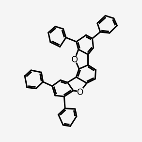 c1ccc(-c2cc(-c3ccccc3)c3oc4c(ccc5oc6c(-c7ccccc7)cc(-c7ccccc7)cc6c54)c3c2)cc1